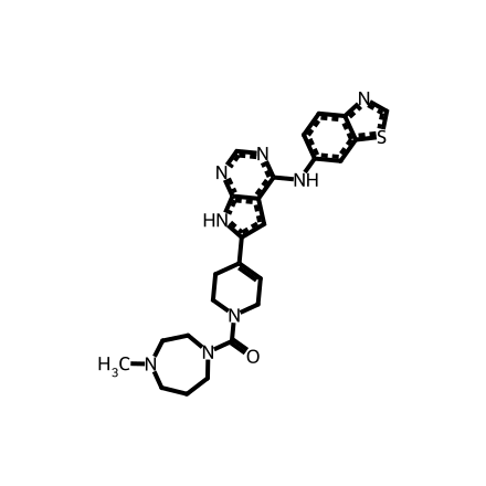 CN1CCCN(C(=O)N2CC=C(c3cc4c(Nc5ccc6ncsc6c5)ncnc4[nH]3)CC2)CC1